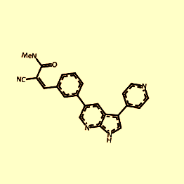 CNC(=O)C(C#N)=Cc1cccc(-c2cnc3[nH]cc(-c4ccncc4)c3c2)c1